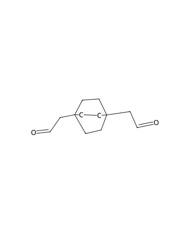 O=CCC12CCC(CC=O)(CC1)CC2